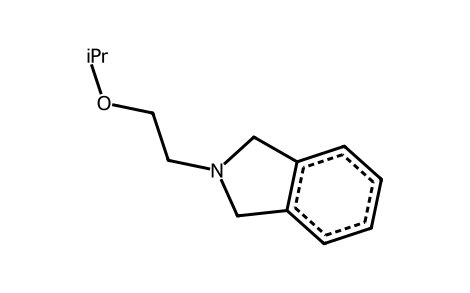 CC(C)OCCN1Cc2ccccc2C1